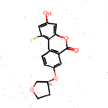 O=c1oc2cc(O)cc(F)c2c2ccc(O[C@H]3CCOC3)cc12